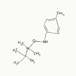 Cc1ccc(NO[Si](C)(C)C(C)(C)C)cc1